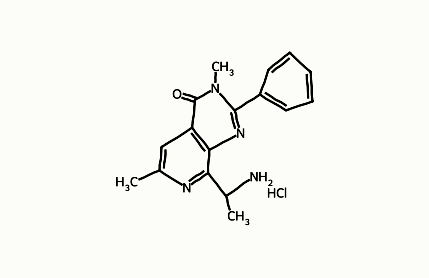 Cc1cc2c(=O)n(C)c(-c3ccccc3)nc2c(C(C)N)n1.Cl